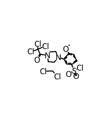 COc1ccc(S(=O)(=O)Cl)cc1N1CCN(C(=O)C(Cl)(Cl)Cl)CC1.ClCCl